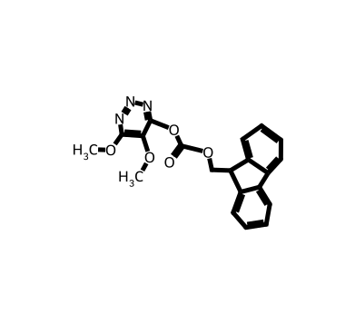 COc1nnnc(OC(=O)OCC2c3ccccc3-c3ccccc32)c1OC